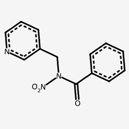 O=C(c1ccccc1)N(Cc1cccnc1)[N+](=O)[O-]